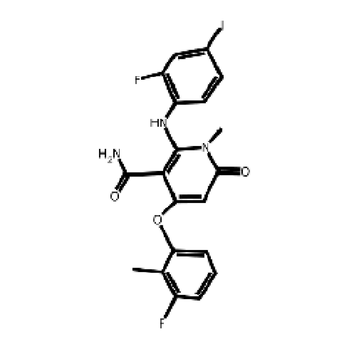 Cc1c(F)cccc1Oc1cc(=O)n(C)c(Nc2ccc(I)cc2F)c1C(N)=O